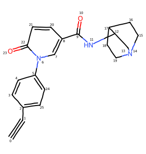 C#Cc1ccc(-n2cc(C(=O)NC3CN4CCC3CC4)ccc2=O)cc1